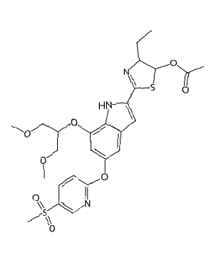 CCC1N=C(c2cc3cc(Oc4ccc(S(C)(=O)=O)cn4)cc(OC(COC)COC)c3[nH]2)SC1OC(C)=O